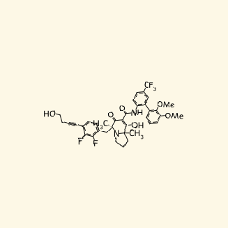 COc1cccc(-c2cc(C(F)(F)F)ccc2NC(=O)C2=C(O)C3(C)CCCN3[C@@](C)(Cc3ccc(C#CCCO)c(F)c3F)C2=O)c1OC